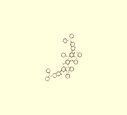 c1ccc(N(c2ccccc2)c2ccc3cc4oc5c6c7c(cc5c4cc3c2)Sc2cc3c(cc2B7c2ccccc2N6c2ccccc2)B2c4ccccc4N(c4ccccc4)c4c2c(cc2c4oc4cc5ccc(N(c6ccccc6)c6ccccc6)cc5cc42)N3c2ccccc2)cc1